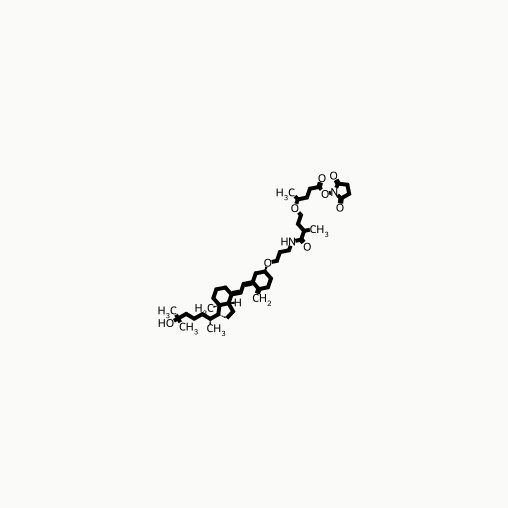 C=C1CC[C@H](OCCCNC(=O)C(C)CCOC(C)CCC(=O)ON2C(=O)CCC2=O)C/C1=C/C=C1\CCC[C@]2(C)[C@@H]([C@H](C)CCCC(C)(C)O)CC[C@@H]12